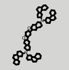 c1ccc2c(c1)ccc1ccc(N(c3ccc4cc5c(cc4c3)oc3cc4oc6cc7cc(N(c8ccc9ccc%10ccccc%10c9c8)c8ccc9ccc%10ccccc%10c9c8)ccc7cc6c4cc35)c3ccc4ccc5ccccc5c4c3)cc12